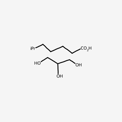 CC(C)CCCCC(=O)O.OCC(O)CO